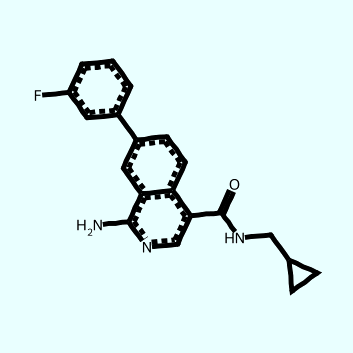 Nc1ncc(C(=O)NCC2CC2)c2ccc(-c3cccc(F)c3)cc12